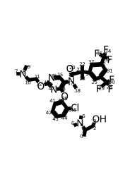 CC(CO)N(C)C.CN(C)CCOc1ncc(N(C)C(=O)C(C)(C)c2cc(C(F)(F)F)cc(C(F)(F)F)c2)c(Oc2ccccc2Cl)n1